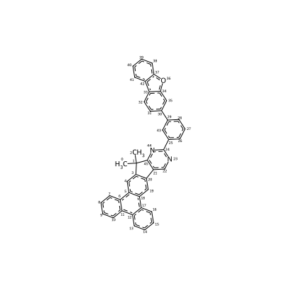 CC1(C)c2cc3c4ccccc4c4ccccc4c3cc2-c2cnc(-c3cccc(-c4ccc5c(c4)oc4ccccc45)c3)nc21